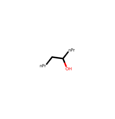 C[CH]CC(O)CCCC